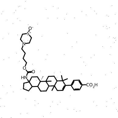 CC1(C)C(c2ccc(C(=O)O)cc2)=CCC2(C)C1CCC1(C)C2CCC2C3CCCC3(NC(=O)OCCCCN3CC[S+]([O-])CC3)CC[C@]21C